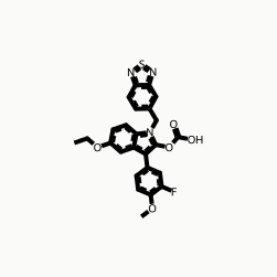 CCOc1ccc2c(c1)c(-c1ccc(OC)c(F)c1)c(OC(=O)O)n2Cc1ccc2nsnc2c1